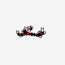 Nc1ncnc2c1c(-c1ccc(Oc3ccccc3)cc1)nn2C1CCC(N2CCN(C3CN(c4ccc5c(c4)C(=O)N(C4CCC(=O)NC4=O)C5=O)C3)CC2)CC1.O=C(O)C(F)(F)F